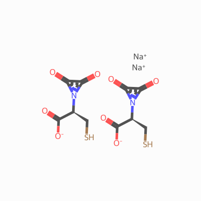 O=C([O-])[C@H](CS)n1c(=O)c1=O.O=C([O-])[C@H](CS)n1c(=O)c1=O.[Na+].[Na+]